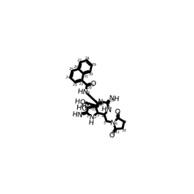 N=C1NC2C(CN3C(=O)CCC3=O)NC(=N)N3CC(NC(=O)c4cccc5ccccc45)C(O)(O)C23N1